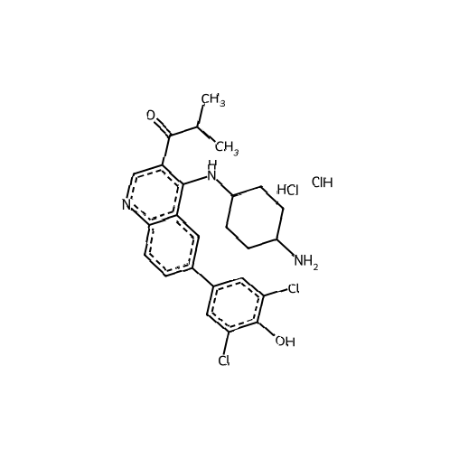 CC(C)C(=O)c1cnc2ccc(-c3cc(Cl)c(O)c(Cl)c3)cc2c1NC1CCC(N)CC1.Cl.Cl